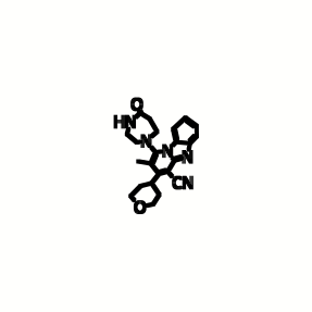 Cc1c(C2CCOCC2)c(C#N)c2nc3ccccc3n2c1N1CCNC(=O)CC1